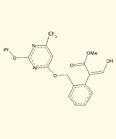 COC(=O)C(=CO)c1ccccc1COc1cc(C(F)(F)F)nc(OC(C)C)n1